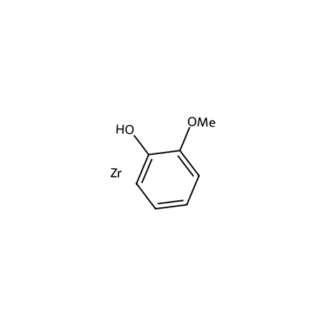 COc1ccccc1O.[Zr]